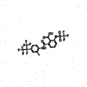 Cc1cc(C(F)(C(F)(F)F)C(F)(F)F)ccc1NC(=O)c1cccc(OS(=O)(=O)C(F)(F)F)c1C(=O)O